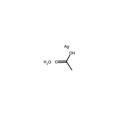 CC(=O)O.O.[Ag]